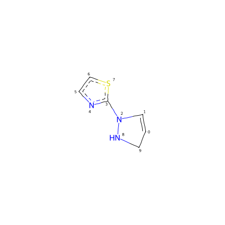 C1=CN(c2nccs2)NC1